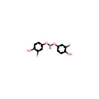 Oc1ccc(OBOc2ccc(O)c(F)c2)cc1F